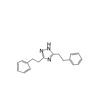 c1ccc(CCc2n[nH]c(CCc3ccccc3)n2)cc1